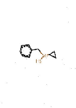 S[SH](Cc1ccccc1)C1CC1